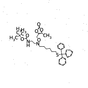 Cc1oc(=O)oc1CON(CCCCCCSC(c1ccccc1)(c1ccccc1)c1ccccc1)CCNC(=O)OC(C)(C)C